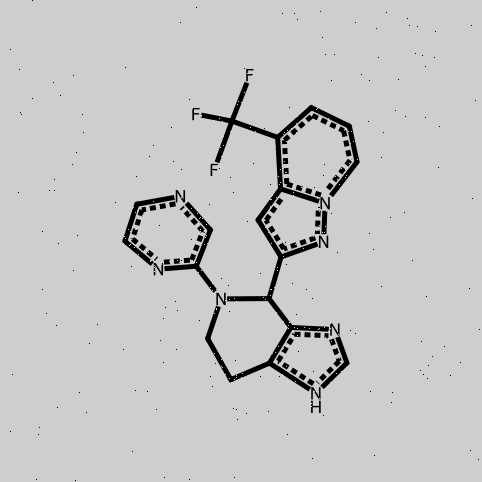 FC(F)(F)c1cccn2nc(C3c4nc[nH]c4CCN3c3cnccn3)cc12